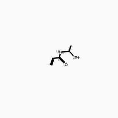 C=CC(=O)NC(C)[NH]